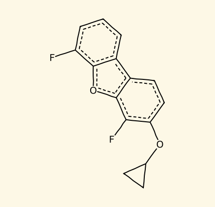 Fc1cccc2c1oc1c(F)c(OC3CC3)ccc12